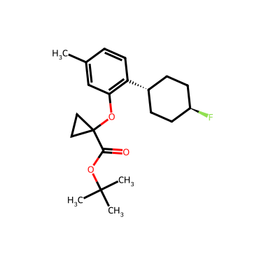 Cc1ccc([C@H]2CC[C@H](F)CC2)c(OC2(C(=O)OC(C)(C)C)CC2)c1